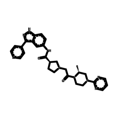 C[C@@H]1CN(c2ncccn2)CCN1C(=O)CN1CC[C@@H](C(=O)Nc2ccc3[nH]nc(-c4ccncc4)c3c2)C1